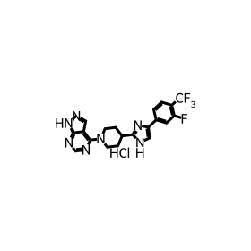 Cl.Fc1cc(-c2c[nH]c(C3CCN(c4ncnc5[nH]ncc45)CC3)n2)ccc1C(F)(F)F